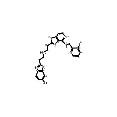 Cc1ccc2nc(CCNCCc3nc4c(NCc5ncccc5F)nccc4s3)[nH]c2c1